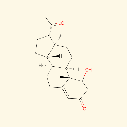 CC(=O)[C@H]1CC[C@H]2[C@@H]3CCC4=CC(=O)CC(O)[C@@]4(C)[C@@H]3CC[C@]12C